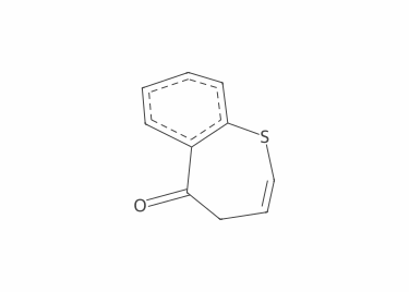 O=C1CC=CSc2ccccc21